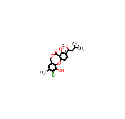 COc1c(C(O)CC(C)C)ccc2c1C(=O)OCc1cc(C)c(Br)c(O)c1O2